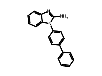 Nc1nc2ccccc2n1-c1ccc(-c2ccccc2)cc1